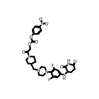 O=C1CCC(Nc2cc(F)c(N3CCN(CC4CCN(C(=O)COC(=O)Oc5ccc([N+](=O)[O-])cc5)CC4)CC3)c(F)c2)C(=O)N1